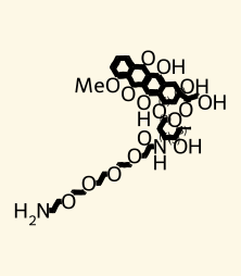 COc1cccc2c1C(=O)c1c(O)c3c(c(O)c1C2=O)C[C@@](O)(C(=O)CO)C[C@@H]3O[C@H]1C[C@H](NC(=O)COCCOCCOCCOCCN)[C@H](O)[C@H](C)O1